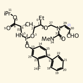 CCC(COP(N[C@@H](C)C(=O)OC(C)C)Oc1ccc(-c2ccccc2)c(F)c1)OCN(/C=C\C=O)C(=O)NC